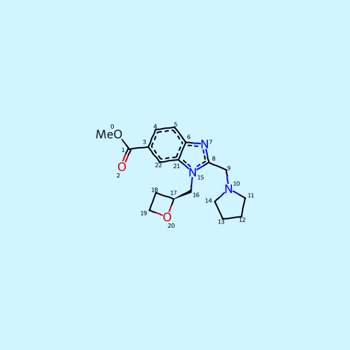 COC(=O)c1ccc2nc(CN3CCCC3)n(C[C@@H]3CCO3)c2c1